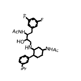 CC(=O)NC1CCC(c2cccc(C(C)C)c2)C(NCC(O)C(Cc2cc(F)cc(F)c2)NC(C)=O)C1